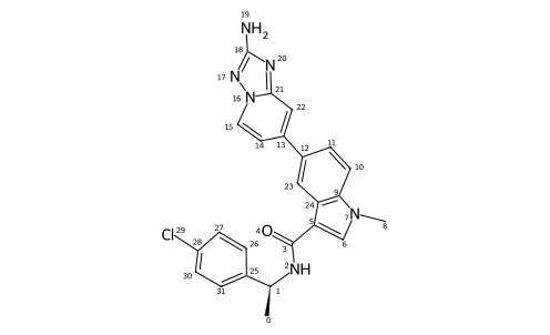 C[C@H](NC(=O)c1cn(C)c2ccc(-c3ccn4nc(N)nc4c3)cc12)c1ccc(Cl)cc1